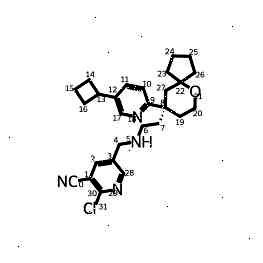 N#Cc1cc(CNCC[C@@]2(c3ccc(C4CCC4)cn3)CCOC3(CCCC3)C2)cnc1Cl